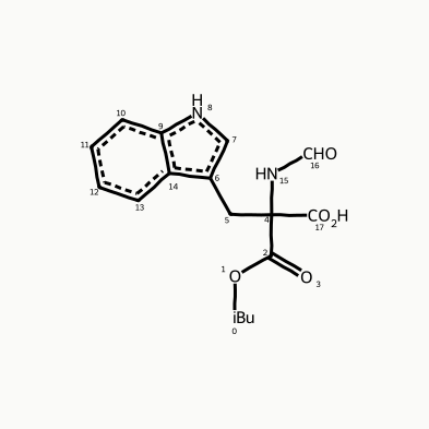 CCC(C)OC(=O)C(Cc1c[nH]c2ccccc12)(NC=O)C(=O)O